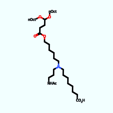 CCCCCCCCOC(CCC(=O)OCCCCCCN(CCCCCCCC(=O)O)CCCNC(C)=O)OCCCCCCCC